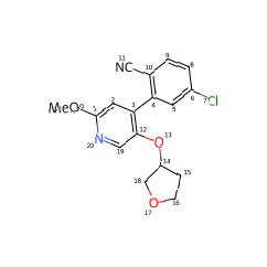 COc1cc(-c2cc(Cl)ccc2C#N)c(OC2CCOC2)cn1